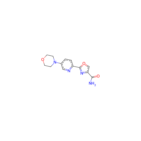 NC(=O)c1coc(-c2ccc(N3CCOCC3)cn2)n1